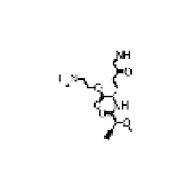 C#C[C@H](OC)C(=O)N[C@@H](CCC(=O)C=N)C(=O)OCCN